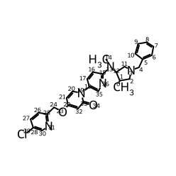 CC1CN(Cc2ccccc2)CC1N(C)c1ccc(-n2ccc(OCc3ccc(Cl)cn3)cc2=O)cn1